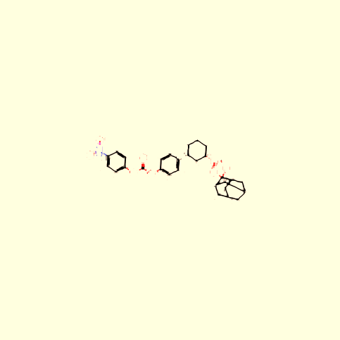 COC1(OO[C@@H]2CCC[C@@H](c3ccc(OC(=O)Oc4ccc([N+](=O)[O-])cc4)cc3)C2)C2CC3CC(C2)CC1C3